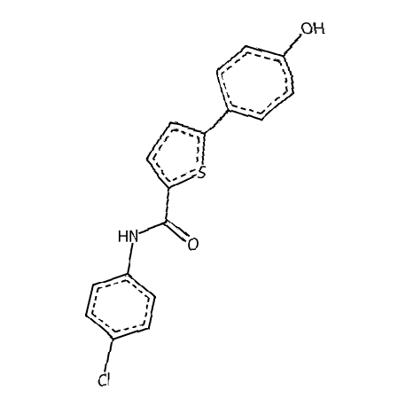 O=C(Nc1ccc(Cl)cc1)c1ccc(-c2ccc(O)cc2)s1